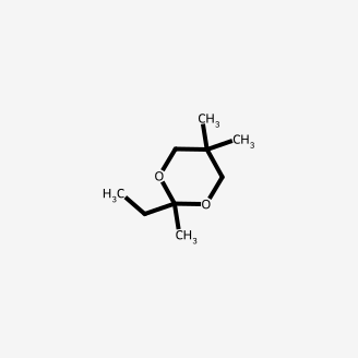 CCC1(C)OCC(C)(C)CO1